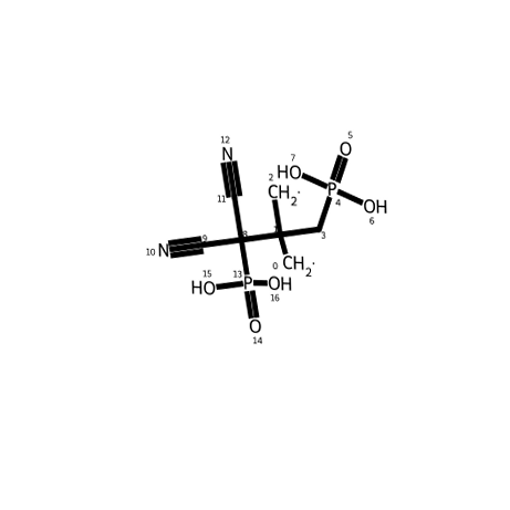 [CH2]C([CH2])(CP(=O)(O)O)C(C#N)(C#N)P(=O)(O)O